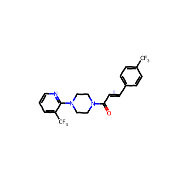 O=C(/C=C/c1ccc(C(F)(F)F)cc1)N1CCN(c2ncccc2C(F)(F)F)CC1